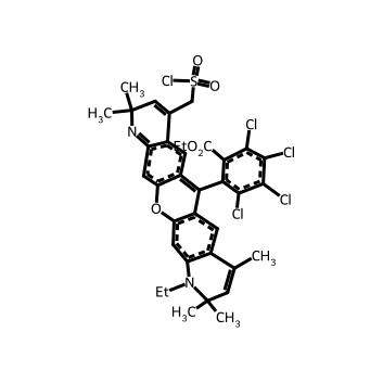 CCOC(=O)c1c(Cl)c(Cl)c(Cl)c(Cl)c1C1=c2cc3c(cc2Oc2cc4c(cc21)C(C)=CC(C)(C)N4CC)=NC(C)(C)C=C3CS(=O)(=O)Cl